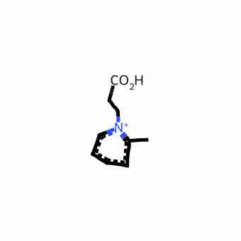 Cc1cccc[n+]1CCC(=O)O